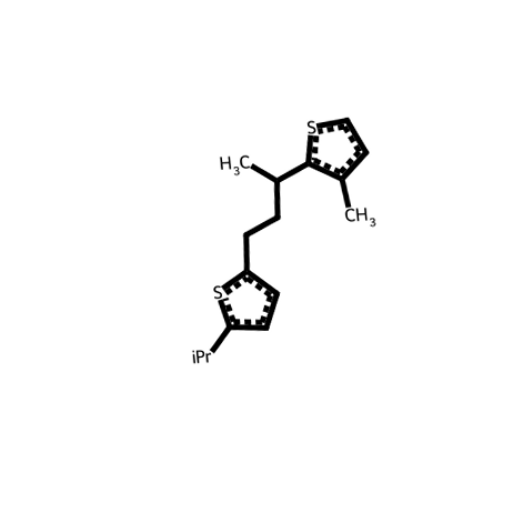 Cc1ccsc1C(C)CCc1ccc(C(C)C)s1